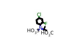 CC(C)(C(=O)O)N(c1ccc(Cl)cc1F)S(=O)(=O)O